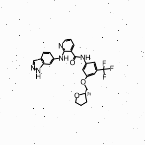 O=C(Nc1cc(OC[C@H]2CCCO2)cc(C(F)(F)F)c1)c1cccnc1Nc1ccc2cn[nH]c2c1